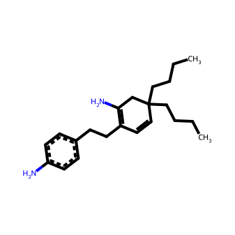 CCCCC1(CCCC)C=CC(CCc2ccc(N)cc2)=C(N)C1